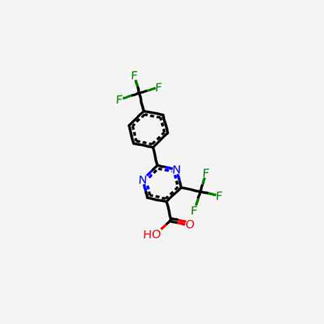 O=C(O)c1cnc(-c2ccc(C(F)(F)F)cc2)nc1C(F)(F)F